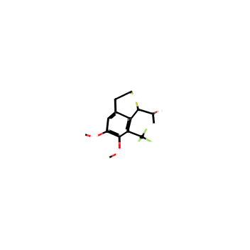 COc1cc2c(c(C(F)(F)F)c1OC)C(C(C)Br)SCC2